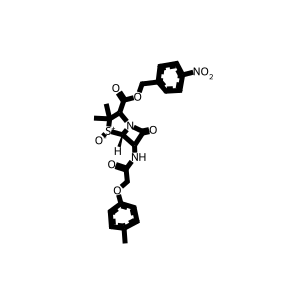 Cc1ccc(OCC(=O)NC2C(=O)N3C(C(=O)OCc4ccc([N+](=O)[O-])cc4)C(C)(C)[S+]([O-])[C@@H]23)cc1